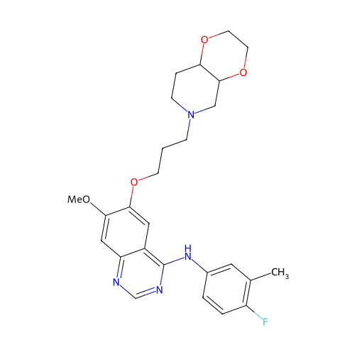 COc1cc2ncnc(Nc3ccc(F)c(C)c3)c2cc1OCCCN1CCC2OCCOC2C1